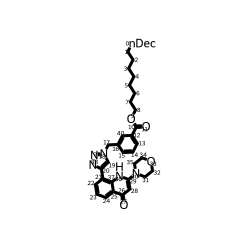 CCCCCCCCCCCCCCCCCCOC(=O)c1cccc(Cn2cc(-c3cccc4c(=O)cc(N5CCOCC5)[nH]c34)nn2)c1